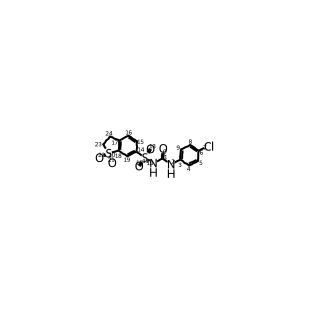 O=C(Nc1ccc(Cl)cc1)NS(=O)(=O)c1ccc2c(c1)S(=O)(=O)CC2